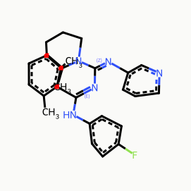 Cc1cccc(C)c1/C(=N\C(=N/c1cccnc1)N1CCCCC1C)Nc1ccc(F)cc1